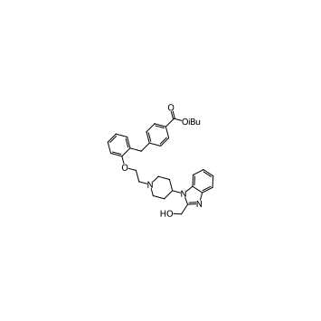 CC(C)COC(=O)c1ccc(Cc2ccccc2OCCN2CCC(n3c(CO)nc4ccccc43)CC2)cc1